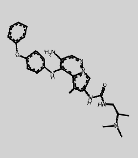 Cc1c(NC(=O)NCC(C)N(C)C)cn2ncc(N)c(Nc3ccc(Oc4ccccc4)cc3)c12